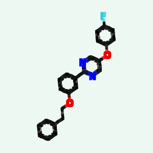 Fc1ccc(Oc2cnc(-c3cccc(OCCc4ccccc4)c3)nc2)cc1